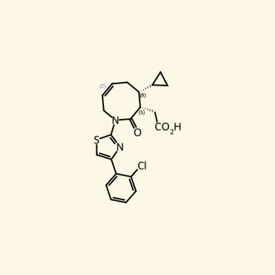 O=C(O)C[C@@H]1C(=O)N(c2nc(-c3ccccc3Cl)cs2)C/C=C\C[C@@H]1C1CC1